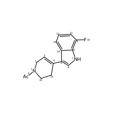 CC(=O)N1CC=C(c2c[nH]c3c(F)cccc23)CC1